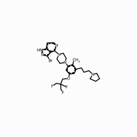 Cc1c(CCCN2CCCC2)cc(OCC(F)(CF)CF)cc1N1CCN(c2nccc3[nH]nc(Br)c23)CC1